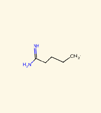 [CH2]CCCC(=N)N